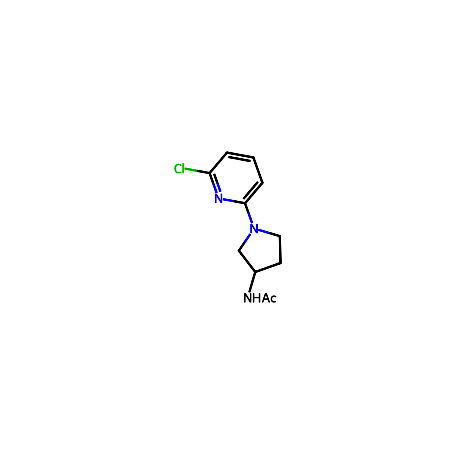 CC(=O)NC1CCN(c2cccc(Cl)n2)C1